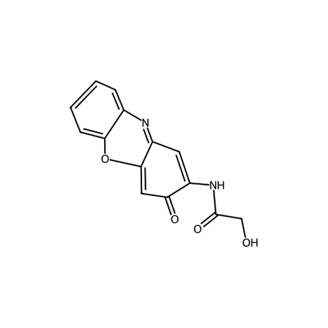 O=C(CO)Nc1cc2nc3ccccc3oc-2cc1=O